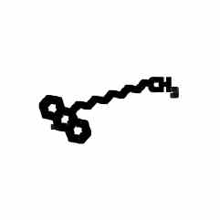 CCCCCCCCCCc1c2ccccc2[c]c2ccccc12